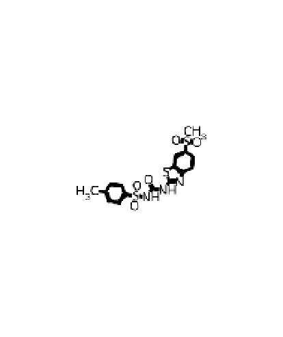 Cc1ccc(S(=O)(=O)NC(=O)Nc2nc3ccc(S(C)(=O)=O)cc3s2)cc1